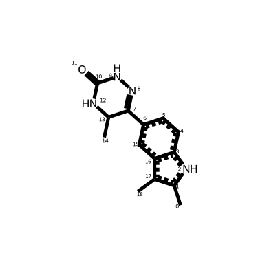 Cc1[nH]c2ccc(C3=NNC(=O)NC3C)cc2c1C